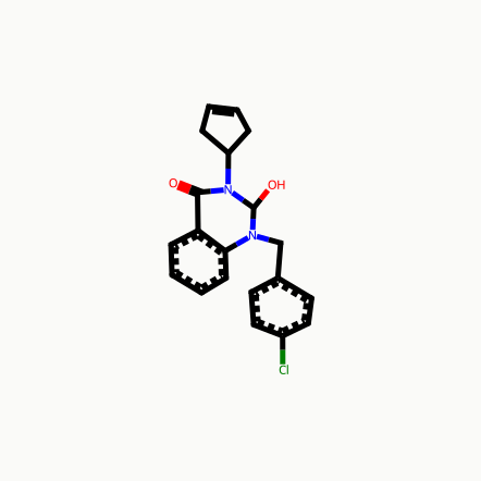 O=C1c2ccccc2N(Cc2ccc(Cl)cc2)C(O)N1C1CC=CC1